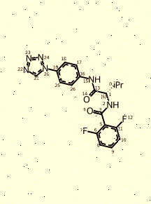 CC(C)[C@H](NC(=O)c1c(F)cccc1F)C(=O)Nc1ccc(-n2cnnn2)cc1